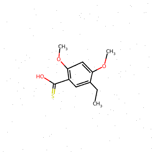 CCc1cc(C(O)=S)c(OC)cc1OC